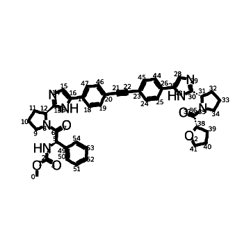 COC(=O)N[C@@H](C(=O)N1CCC[C@H]1c1ncc(-c2ccc(C#Cc3ccc(-c4cnc([C@@H]5CCCN5C(=O)[C@@H]5CCCO5)[nH]4)cc3)cc2)[nH]1)c1ccccc1